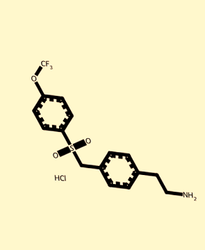 Cl.NCCc1ccc(CS(=O)(=O)c2ccc(OC(F)(F)F)cc2)cc1